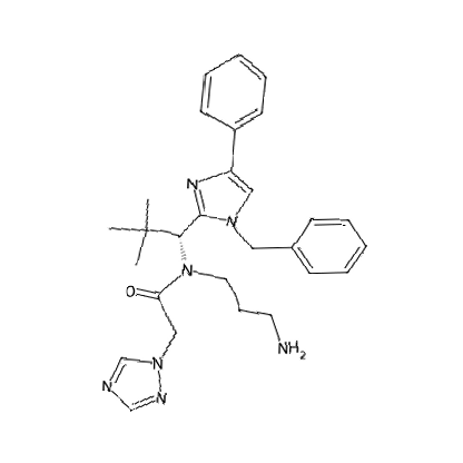 CC(C)(C)[C@H](c1nc(-c2ccccc2)cn1Cc1ccccc1)N(CCCN)C(=O)Cn1cncn1